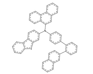 c1ccc(-c2ccc3ccccc3c2)c(-c2ccc(N(c3ccc4c(c3)sc3ccccc34)c3cc4ccccc4c4ccccc34)cc2)c1